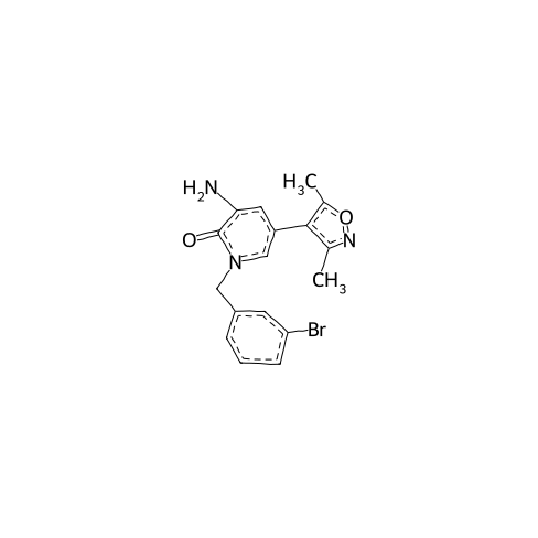 Cc1noc(C)c1-c1cc(N)c(=O)n(Cc2cccc(Br)c2)c1